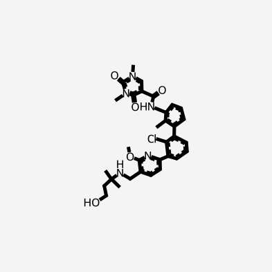 COc1nc(-c2cccc(-c3cccc(NC(=O)c4cn(C)c(=O)n(C)c4=O)c3C)c2Cl)ccc1CNC(C)(C)CCO